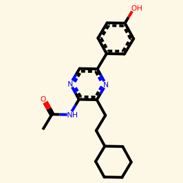 CC(=O)Nc1ncc(-c2ccc(O)cc2)nc1CCC1CCCCC1